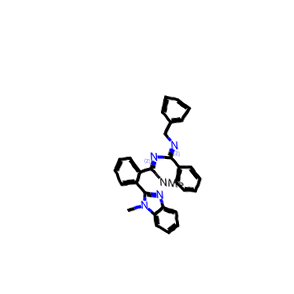 CN/C(=N\C(=N/Cc1ccccc1)c1ccccc1)c1ccccc1-c1nc2ccccc2n1C